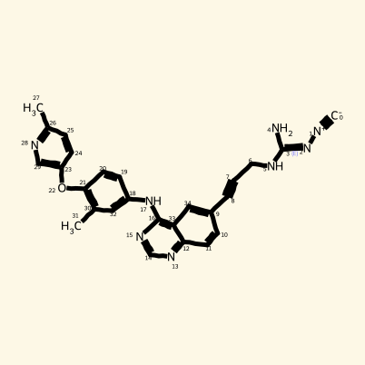 [C-]#[N+]/N=C(\N)NCC#Cc1ccc2ncnc(Nc3ccc(Oc4ccc(C)nc4)c(C)c3)c2c1